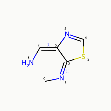 C/N=C1/SC=N/C1=C/N